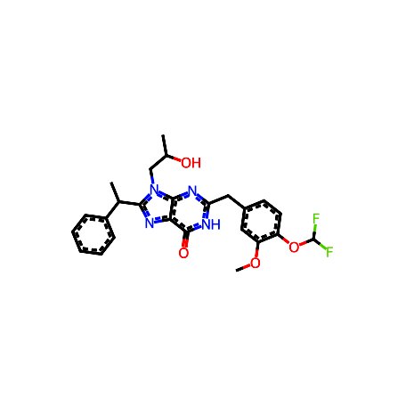 COc1cc(Cc2nc3c(nc(C(C)c4ccccc4)n3CC(C)O)c(=O)[nH]2)ccc1OC(F)F